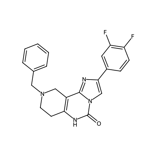 O=c1[nH]c2c(c3nc(-c4ccc(F)c(F)c4)cn13)CN(Cc1ccccc1)CC2